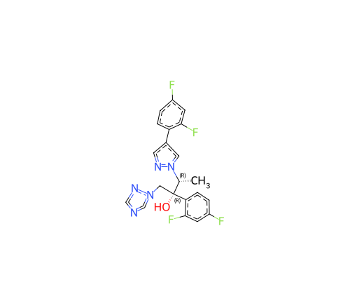 C[C@@H](n1cc(-c2ccc(F)cc2F)cn1)[C@](O)(Cn1cncn1)c1ccc(F)cc1F